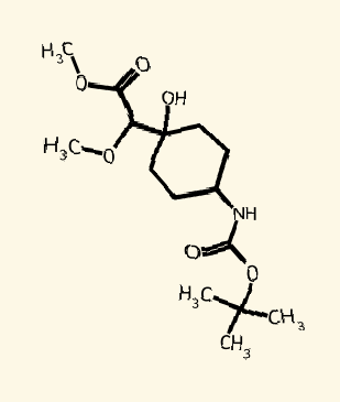 COC(=O)C(OC)C1(O)CCC(NC(=O)OC(C)(C)C)CC1